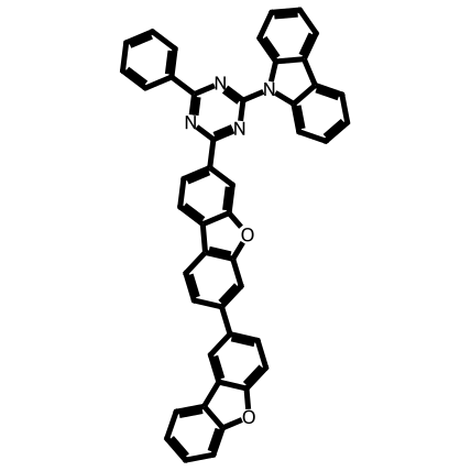 c1ccc(-c2nc(-c3ccc4c(c3)oc3cc(-c5ccc6oc7ccccc7c6c5)ccc34)nc(-n3c4ccccc4c4ccccc43)n2)cc1